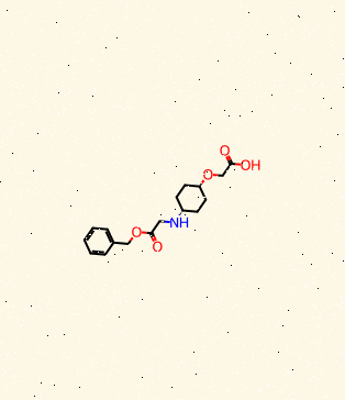 O=C(O)CO[C@H]1CC[C@H](NCC(=O)OCc2ccccc2)CC1